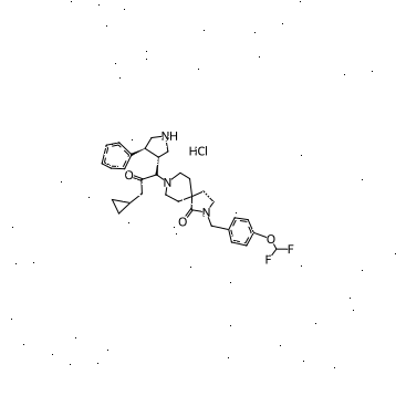 Cl.O=C(CC1CC1)C([C@@H]1CNC[C@@H]1c1ccccc1)N1CCC2(CCN(Cc3ccc(OC(F)F)cc3)C2=O)CC1